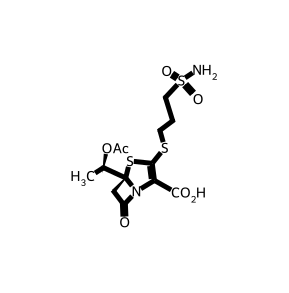 CC(=O)O[C@H](C)[C@@]12CC(=O)N1C(C(=O)O)=C(SCCCS(N)(=O)=O)S2